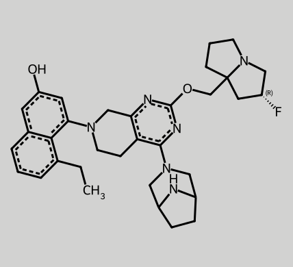 CCc1cccc2cc(O)cc(N3CCc4c(nc(OCC56CCCN5C[C@H](F)C6)nc4N4CC5CCC(C4)N5)C3)c12